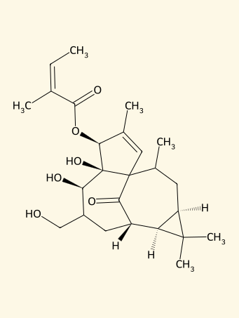 C/C=C(/C)C(=O)O[C@H]1C(C)=CC23C(=O)[C@@H](CC(CO)[C@@H](O)[C@]12O)[C@H]1[C@@H](CC3C)C1(C)C